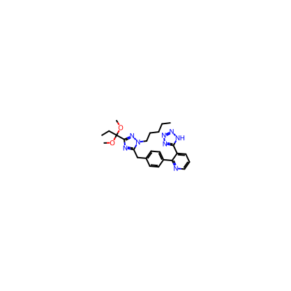 CCCCCn1nc(C(CC)(OC)OC)nc1Cc1ccc(-c2ncccc2-c2nnn[nH]2)cc1